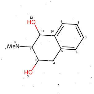 CNC1C(O)Cc2ccccc2C1O